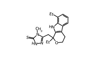 CCc1cccc2c3c([nH]c12)C(CC)(Cc1n[nH]c(=S)n1C)OCC3